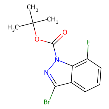 CC(C)(C)OC(=O)n1nc(Br)c2cccc(F)c21